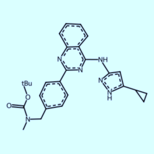 CN(Cc1ccc(-c2nc(Nc3cc(C4CC4)[nH]n3)c3ccccc3n2)cc1)C(=O)OC(C)(C)C